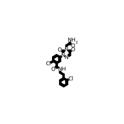 NC(=O)Cn1c(=O)cnn(-c2ccc(Cl)c(C(=O)NCCc3ccccc3Cl)c2)c1=O